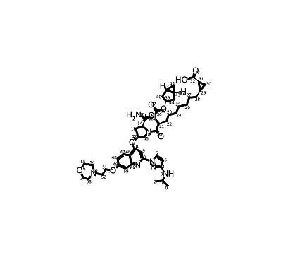 CC(C)Nc1ccn(-c2cc(OC3C[C@@H](C(N)=O)N(C(=O)[C@H](CCCCCCC[C@@H]4C[C@@H]4C(=O)O)NC(=O)O[C@@H]4C[C@@H]5C[C@@H]5C4)C3)c3ccc(OCCN4CCOCC4)cc3n2)n1